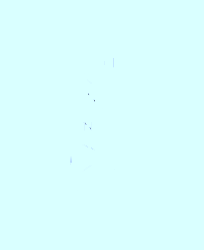 O=C(CCl)N1CCN(c2ccc(Cl)c(CO)c2)CC1